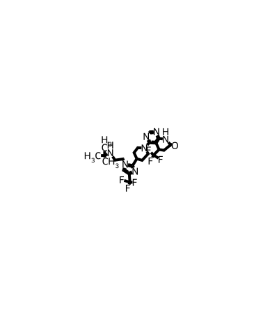 CC(C)(C)NCCn1cc(C(F)(F)F)nc1C1CCN(c2ncnc3c2C(C(F)(F)F)CC(=O)N3)CC1